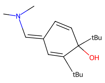 CN(C)C=C1C=CC(O)(C(C)(C)C)C(C(C)(C)C)=C1